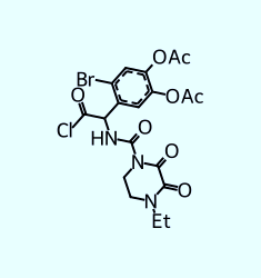 CCN1CCN(C(=O)NC(C(=O)Cl)c2cc(OC(C)=O)c(OC(C)=O)cc2Br)C(=O)C1=O